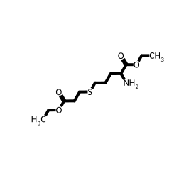 CCOC(=O)CCSCCCC(N)C(=O)OCC